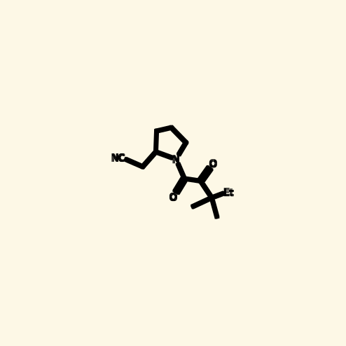 CCC(C)(C)C(=O)C(=O)N1CCCC1CC#N